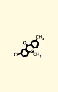 COc1ccc(Cl)cc1C(=O)c1cccc(C)c1